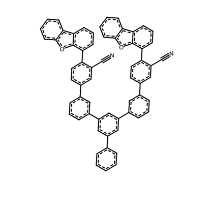 N#Cc1cc(-c2cccc(-c3cc(-c4ccccc4)cc(-c4cccc(-c5ccc(-c6cccc7c6oc6ccccc67)c(C#N)c5)c4)c3)c2)ccc1-c1cccc2c1oc1ccccc12